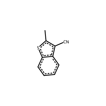 Cc1sc2ccccc2c1C#N